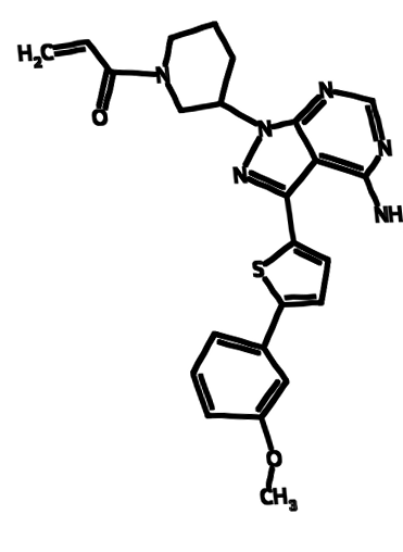 C=CC(=O)N1CCCC(n2nc(-c3ccc(-c4cccc(OC)c4)s3)c3c(N)ncnc32)C1